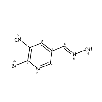 [C-]#[N+]c1cc(/C=N/O)cnc1Br